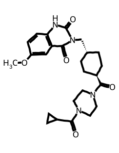 COc1ccc2[nH]c(=O)n(C[C@H]3CC[C@H](C(=O)N4CCN(C(=O)C5CC5)CC4)CC3)c(=O)c2c1